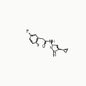 O=C(Cc1cc(F)ccc1F)Nc1cc(C2CC2)[nH]n1